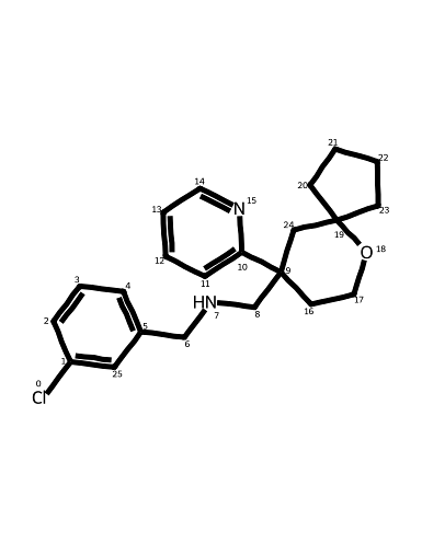 Clc1cccc(CNCC2(c3ccccn3)CCOC3(CCCC3)C2)c1